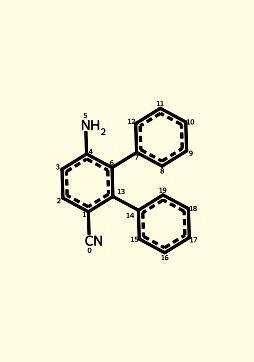 N#Cc1ccc(N)c(-c2ccccc2)c1-c1ccccc1